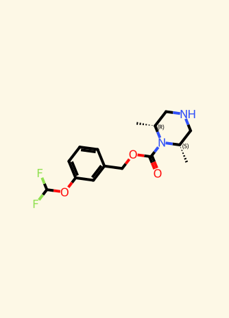 C[C@@H]1CNC[C@H](C)N1C(=O)OCc1cccc(OC(F)F)c1